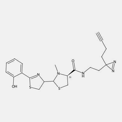 C#CCCC1(CCNC(=O)[C@H]2CSC(C3CSC(c4ccccc4O)=N3)N2C)N=N1